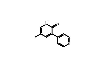 Cc1c[nH]c(=O)c(-c2ccncc2)c1